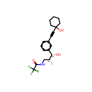 C[C@H](CNC(=O)C(F)(F)F)[C@@H](O)c1cccc(C#CC2(O)CCCCC2)c1